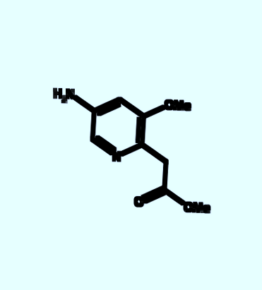 COC(=O)Cc1ncc(N)cc1OC